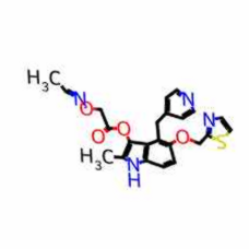 CC=NOCC(=O)Oc1c(C)[nH]c2ccc(OCc3nccs3)c(Cc3ccncc3)c12